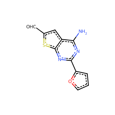 Nc1nc(-c2ccco2)nc2sc(C=O)cc12